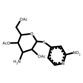 CC(=O)OCC1OC(Sc2ccnc([N+](=O)[O-])c2)C(OC(C)=O)C(N)C1OC(C)=O